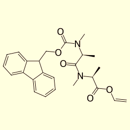 C=COC(=O)[C@H](C)N(C)C(=O)[C@H](C)N(C)C(=O)OCC1c2ccccc2-c2ccccc21